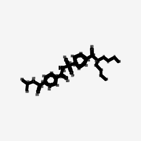 CCCCN(CCCC)C(=O)c1ccc(S(=O)(=O)NC(=O)c2ccc(C(=O)OC(C)C)nc2)cc1